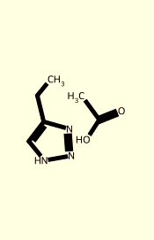 CC(=O)O.CCc1c[nH]nn1